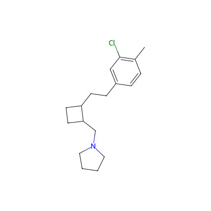 Cc1ccc(CCC2CCC2CN2CCCC2)cc1Cl